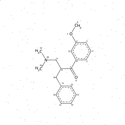 COc1cccc(C(=O)C(Cc2ccccc2)CN(C)C)c1